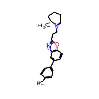 C[C@@H]1CCCCN1CCc1nc2cc(-c3ccc(C#N)cc3)ccc2o1